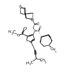 COC(=O)c1sc(C#CC(C)C)cc1N(CC(=O)N1CC2(COC2)C1)C(=O)[C@H]1CC[C@H](C)CC1